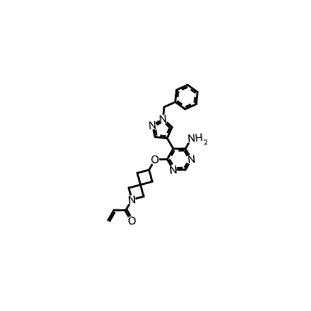 C=CC(=O)N1CC2(CC(Oc3ncnc(N)c3-c3cnn(Cc4ccccc4)c3)C2)C1